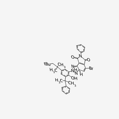 CC(C)(C)CC(C)(C)c1cc(N2N=C3C4=C(C(=O)N(c5ccccc5)C4=O)C(Br)=C[C@@H]3N2)c(O)c(C(C)(C)c2ccccc2)c1